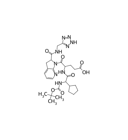 CC(C)(C)OC(=O)NC(C(=O)NC(CCC(=O)O)C(=O)N1c2ncccc2CC1C(=O)NCc1nn[nH]n1)C1CCCC1